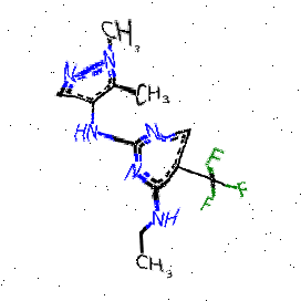 CCNc1nc(Nc2cnn(C)c2C)ncc1C(F)(F)F